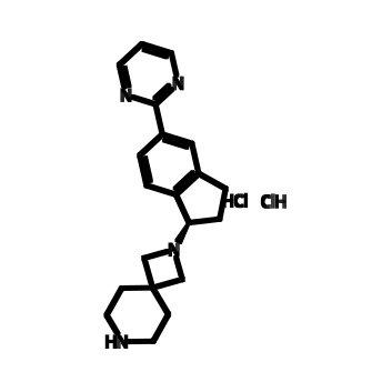 Cl.Cl.c1cnc(-c2ccc3c(c2)CC[C@H]3N2CC3(CCNCC3)C2)nc1